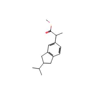 COC(=O)C(C)c1ccc2c(c1)CC(C(C)C)C2